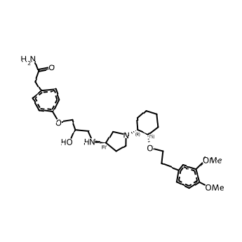 COc1ccc(CCO[C@H]2CCCC[C@H]2N2CC[C@@H](NCC(O)COc3ccc(CC(N)=O)cc3)C2)cc1OC